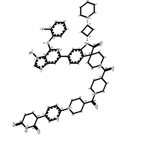 CC(C)n1cnc2cc(-c3ccc4c(c3)N([C@H]3C[C@@H](N5CCCCC5)C3)C(=O)C43CCN(C(=O)C4CCN(C(=O)C5CCN(c6ccc(C7CCC(=O)NC7=O)cn6)CC5)CC4)CC3)nc(Oc3ccccc3F)c21